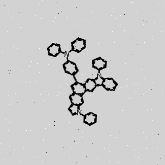 c1ccc(N(c2ccccc2)c2ccc(-c3cc4cc5ccn(-c6ccccc6)c5cc4c4cc5c6ccccc6n(-c6ccccc6)c5cc34)cc2)cc1